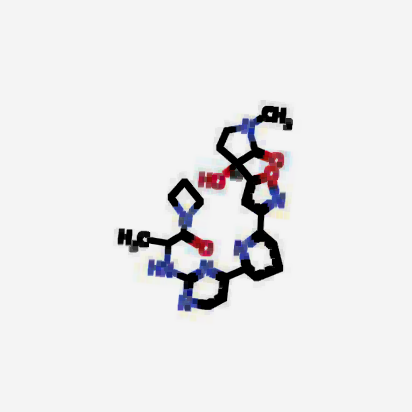 CC(Nc1nccc(-c2cccc(-c3cc([C@]4(O)CCN(C)C4=O)on3)n2)n1)C(=O)N1CCC1